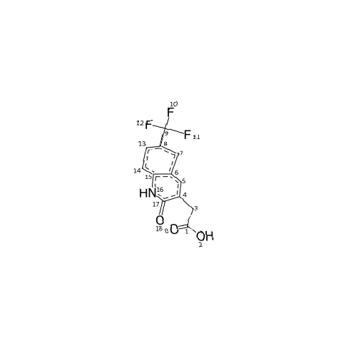 O=C(O)Cc1cc2cc(C(F)(F)F)ccc2[nH]c1=O